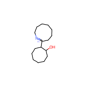 OC1CCCCCCC1/C1=N/CCCCCCC1